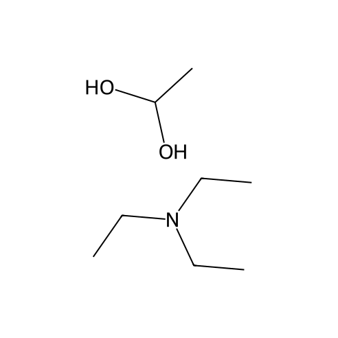 CC(O)O.CCN(CC)CC